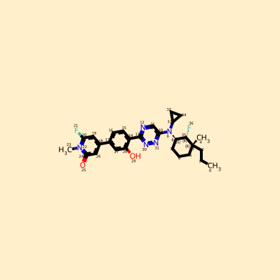 CCC[C@]1(C)CCC[C@H](N(c2cnc(-c3ccc(-c4cc(F)n(C)c(=O)c4)cc3O)nn2)C2CC2)[C@@H]1F